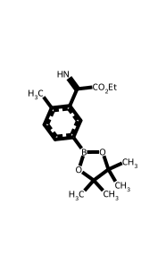 CCOC(=O)C(=N)c1cc(B2OC(C)(C)C(C)(C)O2)ccc1C